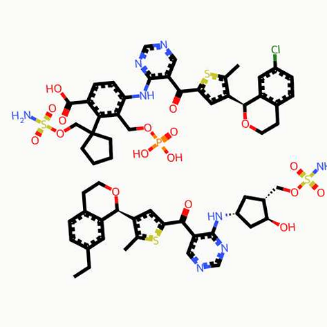 CCc1ccc2c(c1)[C@H](c1cc(C(=O)c3cncnc3N[C@@H]3C[C@H](COS(N)(=O)=O)[C@@H](O)C3)sc1C)OCC2.Cc1sc(C(=O)c2cncnc2Nc2ccc(C(=O)O)c(C3(COS(N)(=O)=O)CCCC3)c2COP(=O)(O)O)cc1[C@@H]1OCCc2ccc(Cl)cc21